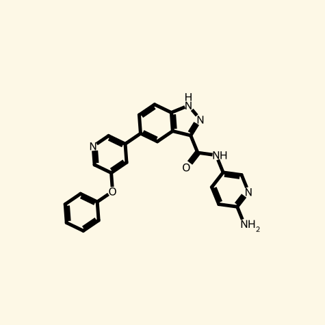 Nc1ccc(NC(=O)c2n[nH]c3ccc(-c4cncc(Oc5ccccc5)c4)cc23)cn1